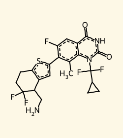 Cc1c(-c2cc3c(s2)CCC(F)(F)C3CN)c(F)cc2c(=O)[nH]c(=O)n(C(F)(F)C3CC3)c12